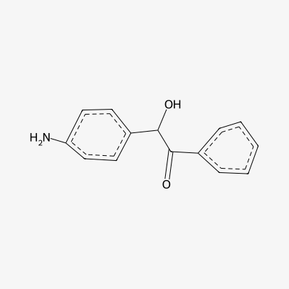 Nc1ccc(C(O)C(=O)c2ccccc2)cc1